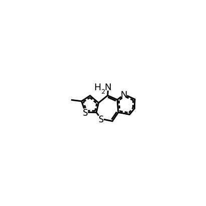 Cc1cc2c(s1)SC=c1cccnc1=C2N